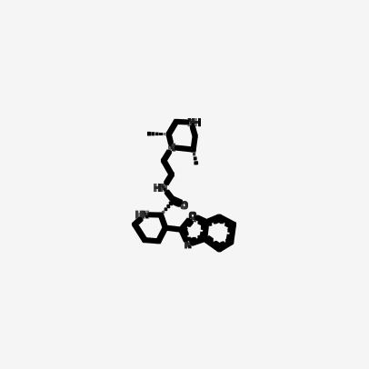 C[C@@H]1CNC[C@H](C)N1CCNC(=O)[C@H]1NCCCC1c1nc2ccccc2o1